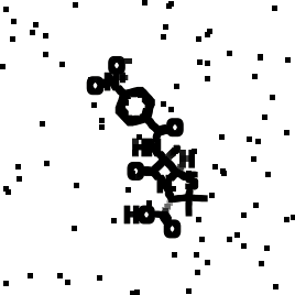 CC1(C)S[C@H]2N(C(=O)[C@]2(C)NC(=O)c2ccc([N+](=O)[O-])cc2)[C@H]1C(=O)O